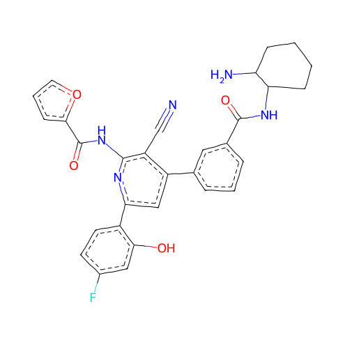 N#Cc1c(-c2cccc(C(=O)NC3CCCCC3N)c2)cc(-c2ccc(F)cc2O)nc1NC(=O)c1ccco1